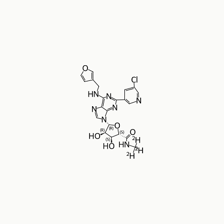 [2H]C([2H])([2H])NC(=O)[C@H]1O[C@@H](n2cnc3c(NCc4ccoc4)nc(-c4cncc(Cl)c4)nc32)[C@H](O)[C@@H]1O